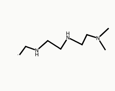 [CH2]CNCCNCCN(C)C